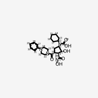 O=C(NO)[C@@H]1[C@@H](O)[C@H](N(C(=O)O)C2CCCCC2)C[C@@H]1C(=O)N1CCN(c2ccccc2)CC1